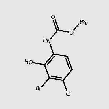 CC(C)(C)OC(=O)Nc1ccc(Cl)c(Br)c1O